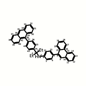 CCC(CC)(Nc1ccc(-c2cc3ccccc3c3ccccc23)cc1)c1ccc(-c2c3ccccc3cc3ccccc23)cc1